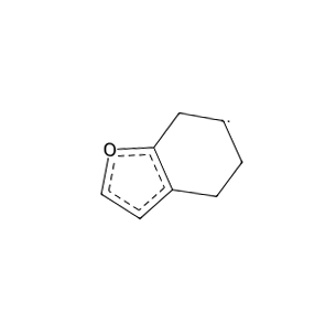 [CH]1CCc2ccoc2C1